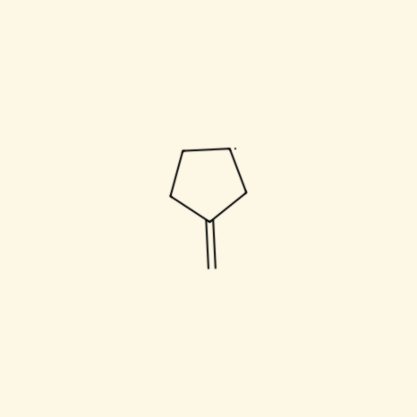 C=C1C[CH]CC1